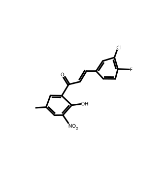 Cc1cc(C(=O)/C=C/c2ccc(F)c(Cl)c2)c(O)c([N+](=O)[O-])c1